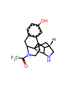 O=C(N1CCC23c4cc(O)ccc4CC1C21CC2NC[C@@H](C1)C23)C(F)(F)F